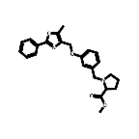 COC(=O)C1CCCN1Cc1cccc(OCc2nc(-c3ccccc3)oc2C)c1